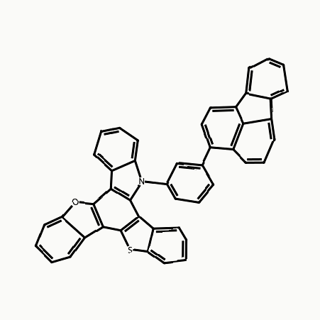 c1cc(-c2ccc3c4c(cccc24)-c2ccccc2-3)cc(-n2c3ccccc3c3c4oc5ccccc5c4c4sc5ccccc5c4c32)c1